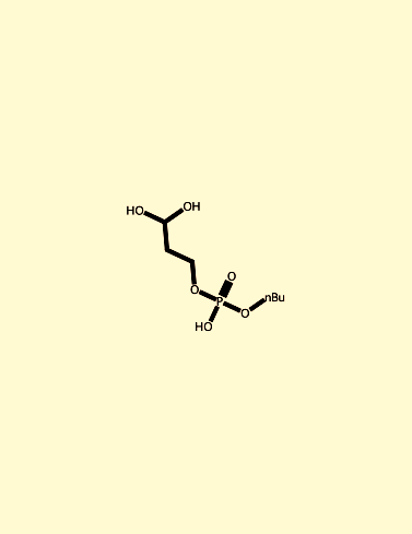 CCCCOP(=O)(O)OCCC(O)O